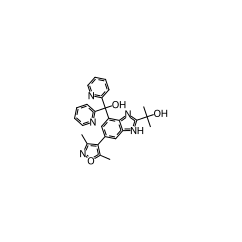 Cc1noc(C)c1-c1cc(C(O)(c2ccccn2)c2ccccn2)c2nc(C(C)(C)O)[nH]c2c1